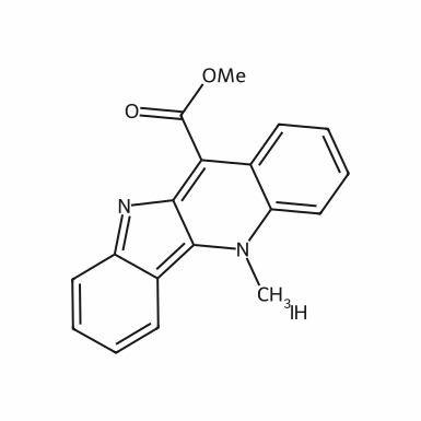 COC(=O)c1c2nc3ccccc3c-2n(C)c2ccccc12.I